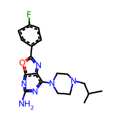 CC(C)CN1CCN(c2nc(N)nc3oc(-c4ccc(F)cc4)nc23)CC1